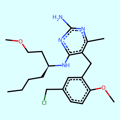 CCCC[C@@H](CCOC)Nc1nc(N)nc(C)c1Cc1cc(CCl)ccc1OC